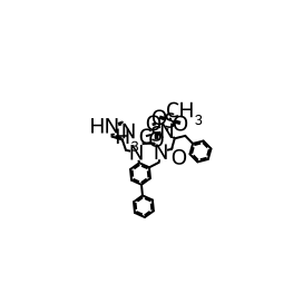 CS(=O)(=O)N(C(Cc1ccccc1)C(=O)N1CCN(Cc2c[nH]cn2)c2ccc(-c3ccccc3)cc2C1)S(C)(=O)=O